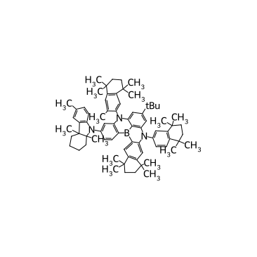 Cc1ccc2c(c1)C1(C)CCCCC1(C)N2c1ccc2c(c1)N(c1cc3c(cc1C)C(C)(C)CCC3(C)C)c1cc(C(C)(C)C)cc3c1B2c1cc2c(cc1N3c1ccc3c(c1)C(C)(C)CCC3(C)C)C(C)(C)CCC2(C)C